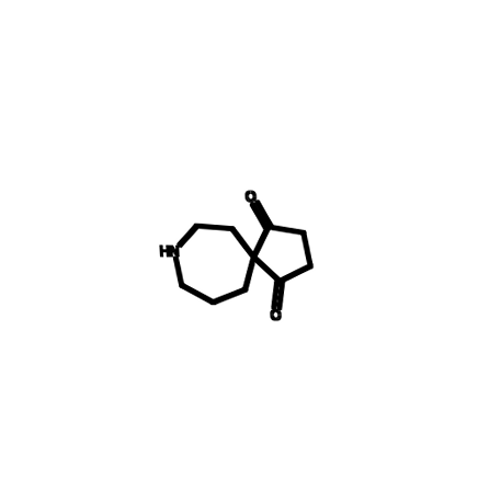 O=C1CCC(=O)C12CCCNCC2